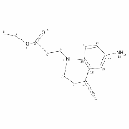 CCOC(=O)CCN1CCC(=O)c2cc(N)ccc21